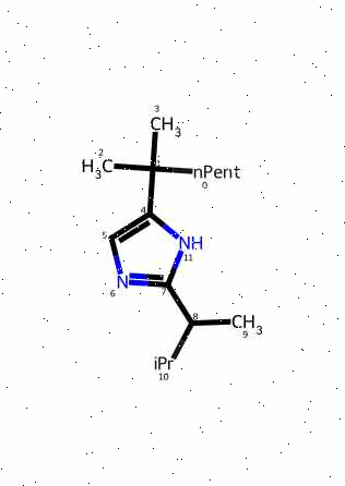 CCCCCC(C)(C)c1cnc(C(C)C(C)C)[nH]1